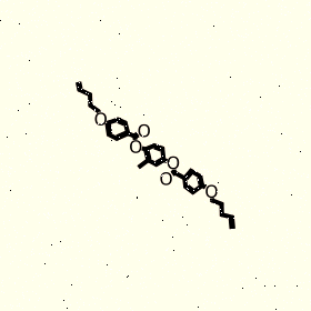 C=CCCCOc1ccc(C(=O)Oc2ccc(OC(=O)c3ccc(OCCCC=C)cc3)c(C)c2)cc1